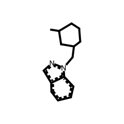 CC1CCCC(Cn2ncc3ccccc32)C1